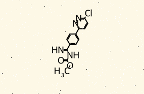 COC(=O)NC(=N)c1ccc(-c2ccc(Cl)nn2)cc1